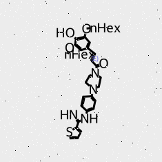 CCCCCCOc1cc(/C=C/C(=O)N2CCN(c3ccc(NC(=N)c4cccs4)cc3)CC2)cc(OCCCCCC)c1O